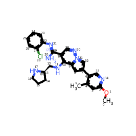 COc1cc(C)c(-c2cc3c(NC[C@H]4CCCN4)c(/C(N)=N/c4ccccc4Cl)cnn3c2)cn1